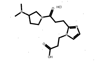 CN(C)C1CCN(C(=O)CCc2nccn2CCC(=O)O)C1.Cl